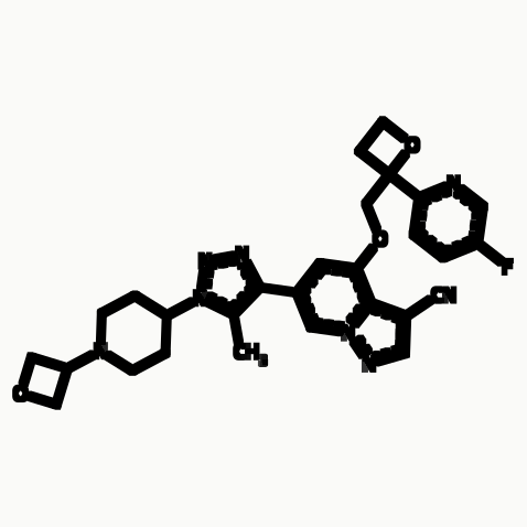 Cc1c(-c2cc(OCC3(c4ccc(F)cn4)CCO3)c3c(C#N)cnn3c2)nnn1C1CCN(C2COC2)CC1